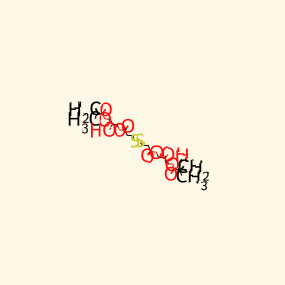 C=C(C)C(=O)OCC(O)COC(=O)CCSSCCC(=O)OCC(O)COC(=O)C(=C)C